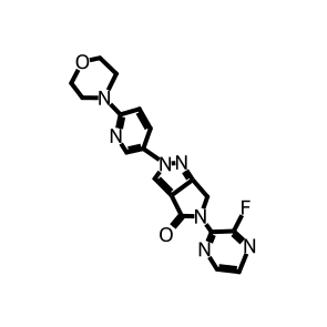 O=C1c2cn(-c3ccc(N4CCOCC4)nc3)nc2CN1c1nccnc1F